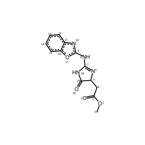 COC(=O)CC1N=C(Nc2nc3ccccc3o2)NC1=O